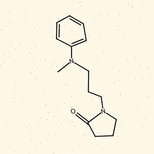 CN(CCCN1CCCC1=O)c1ccccc1